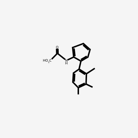 Cc1ccc(-c2ccccc2NC(=O)C(=O)O)c(C)c1C